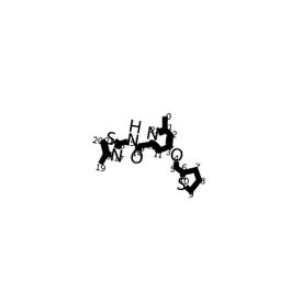 Cc1cc(OCC2CCCS2)cc(C(=O)Nc2nc(C)cs2)n1